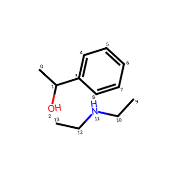 CC(O)c1ccccc1.CCNCC